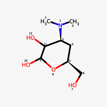 CN(C)[C@H]1C[C@@H](CO)OC(O)C1O